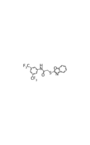 O=C(CSc1nc2ccccc2o1)Nc1cc(C(F)(F)F)cc(C(F)(F)F)c1